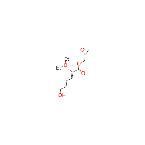 C/C(=C\CCCO)C(=O)OCC1CO1.CCOCC